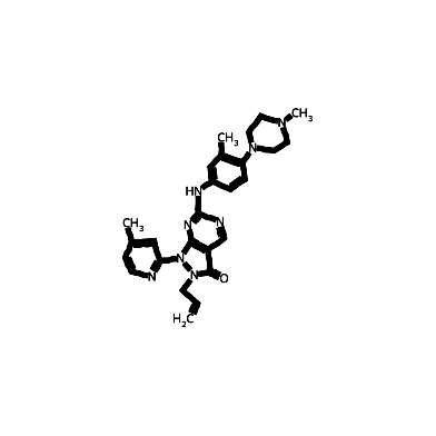 C=CCn1c(=O)c2cnc(Nc3ccc(N4CCN(C)CC4)c(C)c3)nc2n1-c1cc(C)ccn1